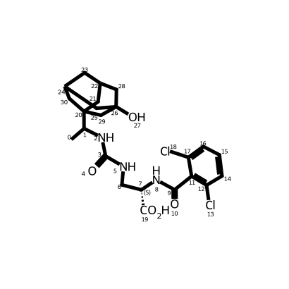 CC(NC(=O)NC[C@H](NC(=O)c1c(Cl)cccc1Cl)C(=O)O)C12CC3CC(CC(O)(C3)C1)C2